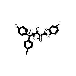 CC(C)(C(=O)Nc1nc2ccc(Cl)cc2s1)C(c1ccc(F)cc1)c1ccc(F)cc1